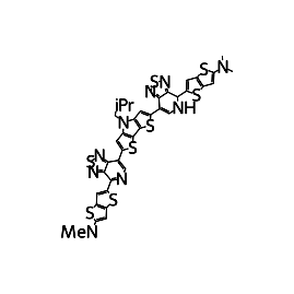 CNc1cc2sc(-c3ncc(-c4cc5c(s4)c4sc(C6=CNC(c7cc8sc(N(C)C)cc8s7)c7nsnc76)cc4n5CC(C)C)c4nsnc34)cc2s1